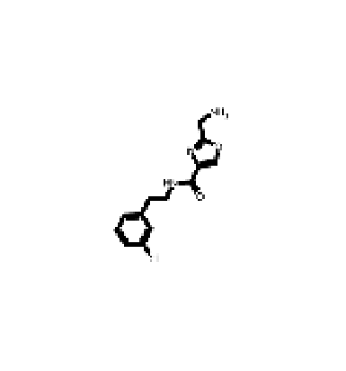 NCc1nc(C(=O)NCCc2cccc(Cl)c2)co1